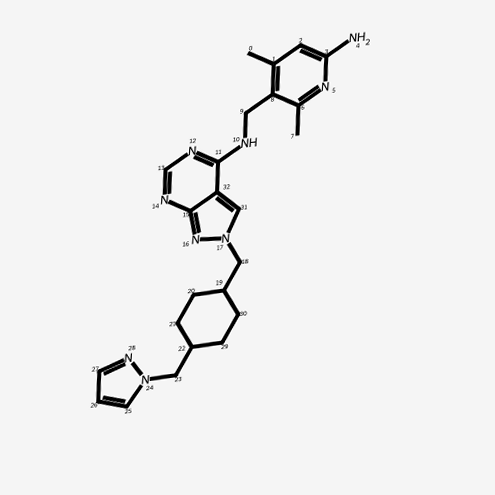 Cc1cc(N)nc(C)c1CNc1ncnc2nn(CC3CCC(Cn4cccn4)CC3)cc12